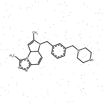 CC1=CC2C(C=Cc3nnc(C)n32)N1Cc1cccc(CN2CCNCC2)c1